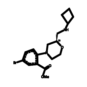 COC(=O)c1cc(Br)ccc1N1CCO[C@@H](CNC2CCC2)C1